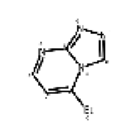 CCc1[c]cnc2nncn12